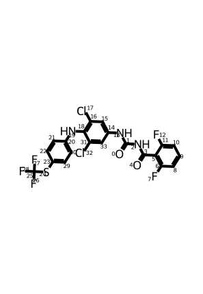 O=C(NC(=O)c1c(F)cccc1F)Nc1cc(Cl)c(Nc2ccc(SC(F)(F)F)cc2)c(Cl)c1